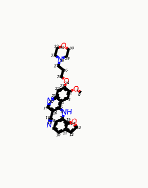 COc1cc2c(Nc3cccc4ccoc34)c(C#N)cnc2cc1OCCCN1CCOCC1